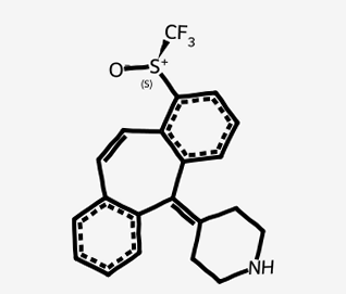 [O-][S@+](c1cccc2c1C=Cc1ccccc1C2=C1CCNCC1)C(F)(F)F